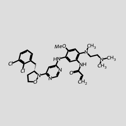 C=CC(=O)Nc1cc(Nc2cc(N3OCC[C@@H]3Cc3cccc(Cl)c3Cl)ncn2)c(OC)cc1N(C)CCN(C)C